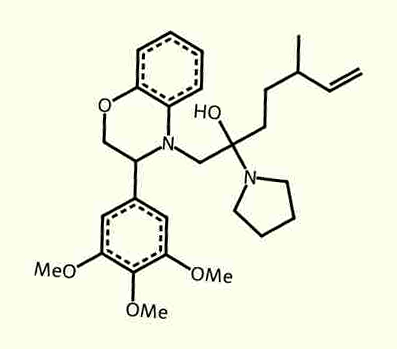 C=CC(C)CCC(O)(CN1c2ccccc2OCC1c1cc(OC)c(OC)c(OC)c1)N1CCCC1